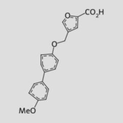 COc1ccc(-c2ccc(OCc3coc(C(=O)O)c3)cc2)cc1